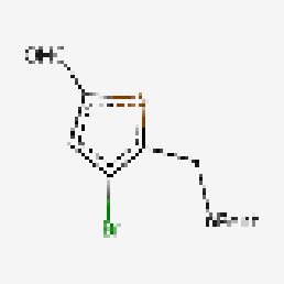 CCCCCCc1sc(C=O)cc1Br